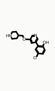 Oc1ccc(Cl)cc1-c1cncc(OCC2CCNCC2)c1